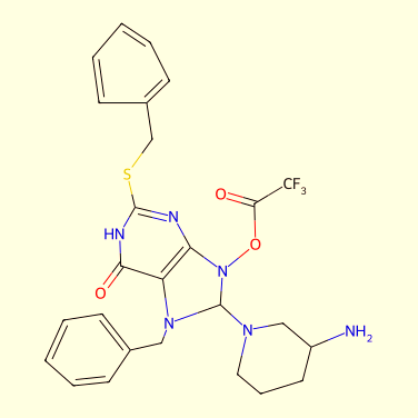 NC1CCCN(C2N(Cc3ccccc3)c3c(nc(SCc4ccccc4)[nH]c3=O)N2OC(=O)C(F)(F)F)C1